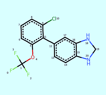 FC(F)(F)Oc1cccc(Cl)c1-c1ccc2c(c1)NCN2